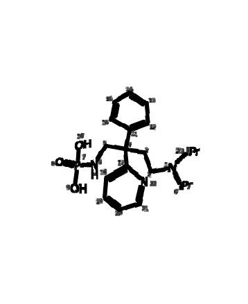 CC(C)N(CCC(CNP(=O)(O)O)(c1ccccc1)c1ccccn1)C(C)C